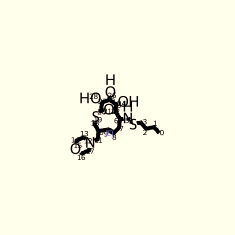 CCCCSNC1C/C=C/C(CN2CCOCC2)CSC2OC1C(O)C(O)C2O